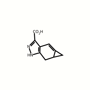 O=C(O)c1n[nH]c2c1C=C1CC1C2